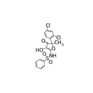 CC1(c2ccc(Cl)cc2Cl)OC(NS(=O)(=O)c2ccccc2)=C(O)C1=O